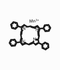 C1=C(c2ccccc2)C2=NC/1=C/c1cc(-c3ccccc3)c([n-]1)/C=C1\[N-]C(C=C1c1ccccc1)/C=c1/cc(-c3ccccc3)/c([n-]1)=C/2.[Mn+3]